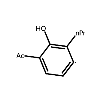 CCCc1[c]ccc(C(C)=O)c1O